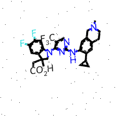 CN1CCc2cc(C3CC3)c(Nc3ncc(C(F)(F)F)c(N4CC(C)(CC(=O)O)c5cc(F)c(F)cc54)n3)cc2C1